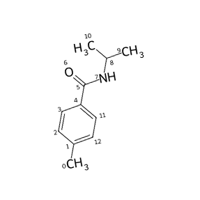 Cc1ccc(C(=O)NC(C)C)cc1